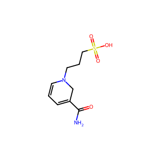 NC(=O)C1=CC=CN(CCCS(=O)(=O)O)C1